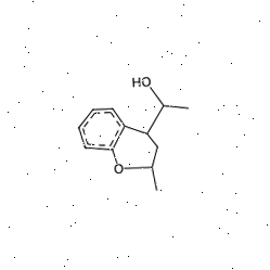 CC1CC(C(C)O)c2ccccc2O1